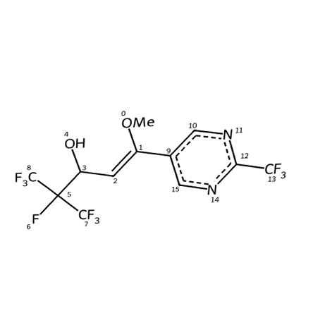 CO/C(=C\C(O)C(F)(C(F)(F)F)C(F)(F)F)c1cnc(C(F)(F)F)nc1